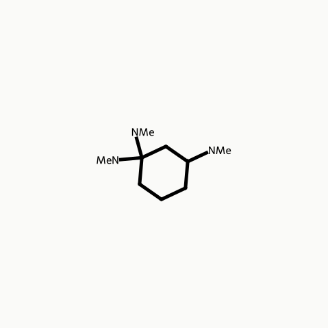 CN[C]1CCCC(NC)(NC)C1